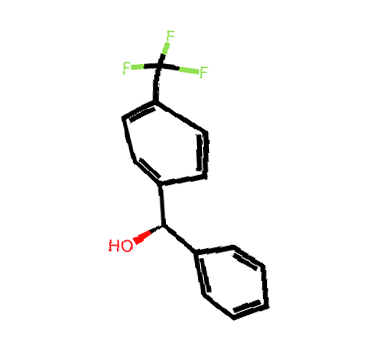 O[C@H](c1ccccc1)c1ccc(C(F)(F)F)cc1